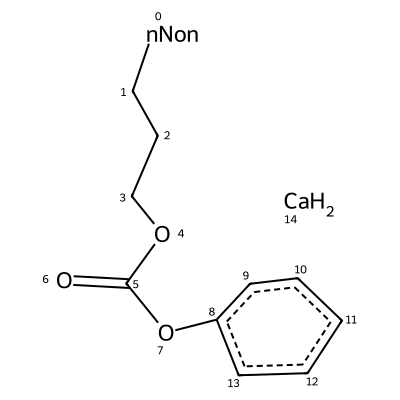 CCCCCCCCCCCCOC(=O)Oc1ccccc1.[CaH2]